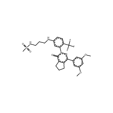 COc1cc(OC)cc(-c2nn(-c3cc(NCCCNS(C)(=O)=O)ccc3C(F)(F)F)c(=O)c3c2CCC3)c1